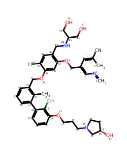 C=N/C=C(\C=C(/C)C#N)COc1cc(OCc2cccc(-c3cccc(OCCCN4CC[C@@H](O)C4)c3Cl)c2C)c(Cl)cc1CNC(CO)CO